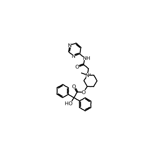 C[N+]1(CC(=O)Nc2ccncn2)CCCC(OC(=O)C(O)(c2ccccc2)c2ccccc2)C1